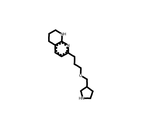 c1cc2c(nc1CCCOCC1CCNC1)NCCC2